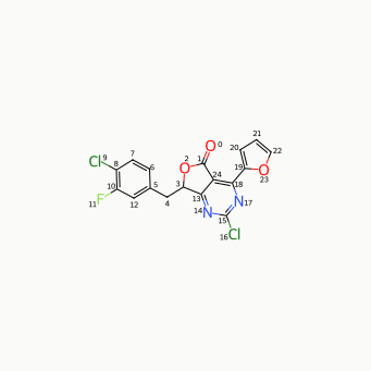 O=C1OC(Cc2ccc(Cl)c(F)c2)c2nc(Cl)nc(-c3ccco3)c21